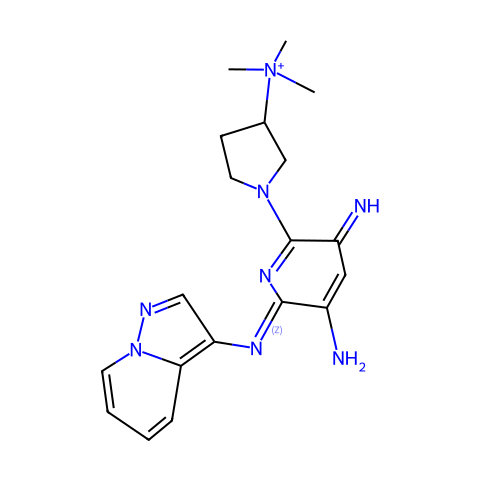 C[N+](C)(C)C1CCN(C2=N/C(=N\c3cnn4ccccc34)C(N)=CC2=N)C1